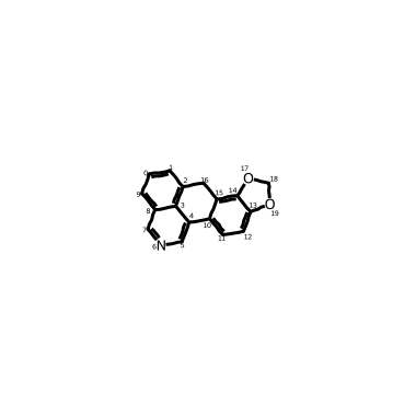 c1cc2c3c(cncc3c1)-c1ccc3c(c1C2)OCO3